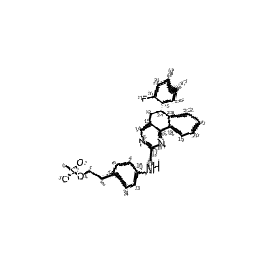 CS(=O)(=O)OCCc1ccc(Nc2ncc3c(n2)-c2ccccc2[C@@H](c2ccccc2F)C3)cc1